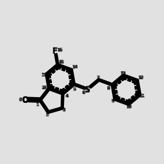 O=C1CCc2c(SCc3ccccc3)cc(F)cc21